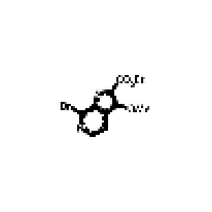 CCOC(=O)c1sc2c(Br)nccc2c1OC